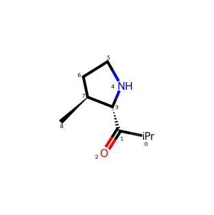 CC(C)C(=O)[C@H]1NCC[C@@H]1C